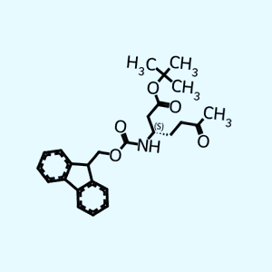 CC(=O)CC[C@@H](CC(=O)OC(C)(C)C)NC(=O)OCC1c2ccccc2-c2ccccc21